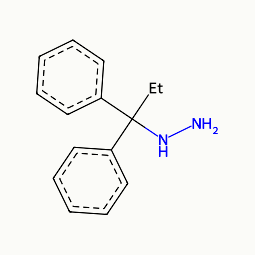 CCC(NN)(c1ccccc1)c1ccccc1